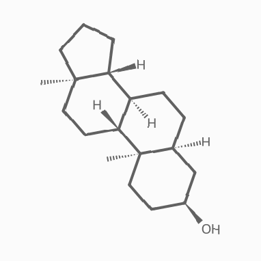 C[C@]12CCC[C@@H]1[C@H]1CC[C@H]3C[C@@H](O)CC[C@@]3(C)[C@@H]1CC2